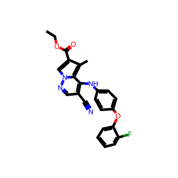 CCOC(=O)c1cn2ncc(C#N)c(Nc3ccc(Oc4ccccc4F)cc3)c2c1C